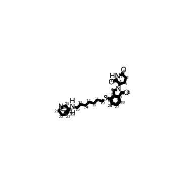 O=C1CCC(N2Cc3c(SCCCCCCCN[C@@H]4CN5CCC4CC5)cccc3C2=O)C(=O)N1